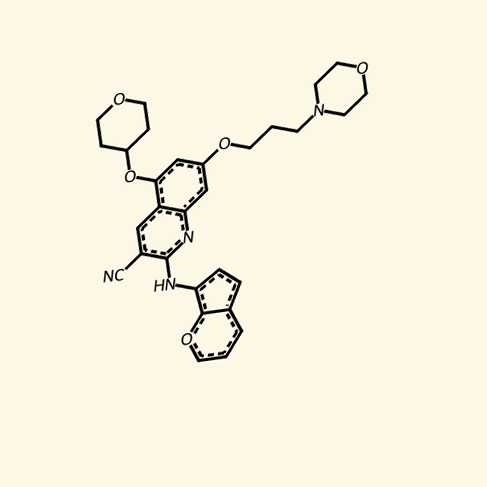 N#Cc1cc2c(OC3CCOCC3)cc(OCCCN3CCOCC3)cc2nc1Nc1ccc2cccoc1-2